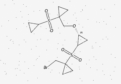 O=S(=O)(C1CC1)C1(CO[C@@H]2CC2S(=O)(=O)C2(CBr)CC2)CC1